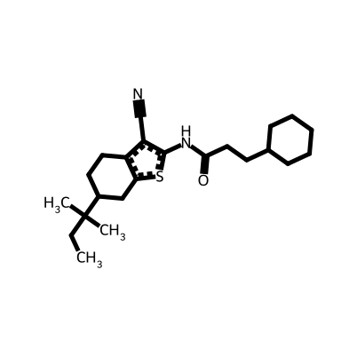 CCC(C)(C)C1CCc2c(sc(NC(=O)CCC3CCCCC3)c2C#N)C1